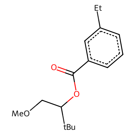 CCc1cccc(C(=O)OC(COC)C(C)(C)C)c1